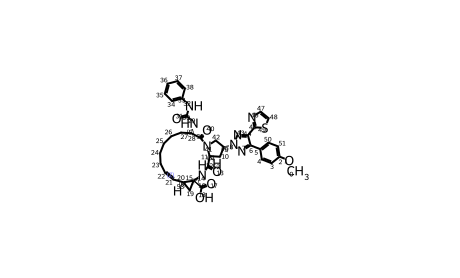 COc1ccc(-c2nn([C@@H]3C[C@H]4C(=O)N[C@]5(C(=O)O)C[C@H]5/C=C\CCCCC[C@H](NC(=O)Nc5ccccc5)C(=O)N4C3)nc2-c2nccs2)cc1